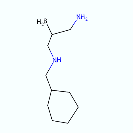 BC(CN)CNCC1CCCCC1